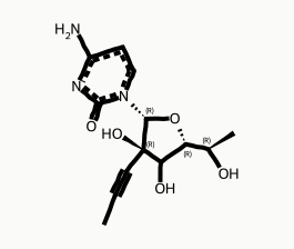 CC#C[C@@]1(O)C(O)[C@@H]([C@@H](C)O)O[C@H]1n1ccc(N)nc1=O